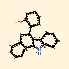 Oc1ccccc1-c1cc2ccccc2c2[nH]c3ccccc3c12